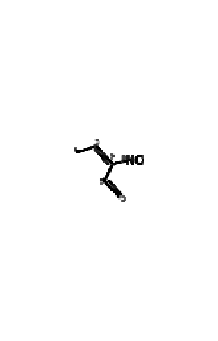 C=C/C(=C\C)N=O